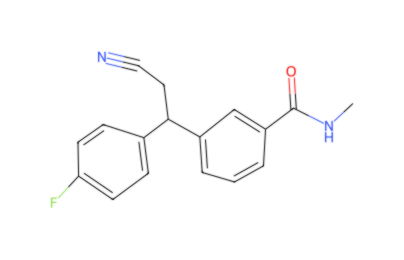 CNC(=O)c1cccc(C(CC#N)c2ccc(F)cc2)c1